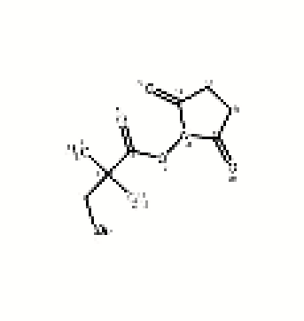 CC(C)(C)CC(C)(C)C(=O)ON1C(=O)CCC1=O